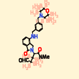 BC(B)(C=O)C(B)(B)C(C(=O)NC)N1Cc2c(NCc3cccc(CN4C(B)(B)C(B)(B)OC(B)(B)C4(B)B)c3)cccc2C1=O